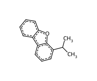 CC(C)c1cccc2c1oc1ccccc12